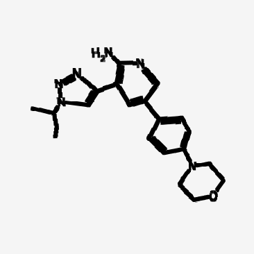 CC(C)n1cc(-c2cc(-c3ccc(N4CCOCC4)cc3)cnc2N)nn1